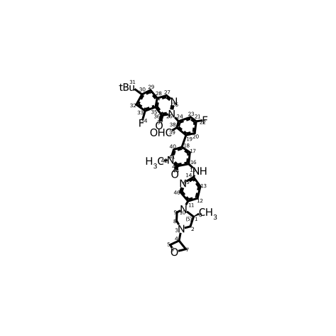 C[C@H]1CN(C2COC2)CCN1c1ccc(Nc2cc(-c3cc(F)cc(-n4ncc5cc(C(C)(C)C)cc(F)c5c4=O)c3C=O)cn(C)c2=O)nc1